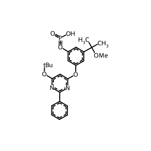 COC(C)(C)c1cc(Oc2cc(OC(C)(C)C)nc(-c3ccccc3)n2)cc(O[PH](=O)O)c1